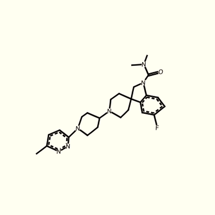 Cc1ccc(N2CCC(N3CCC4(CC3)CN(C(=O)N(C)C)c3ccc(F)cc34)CC2)nn1